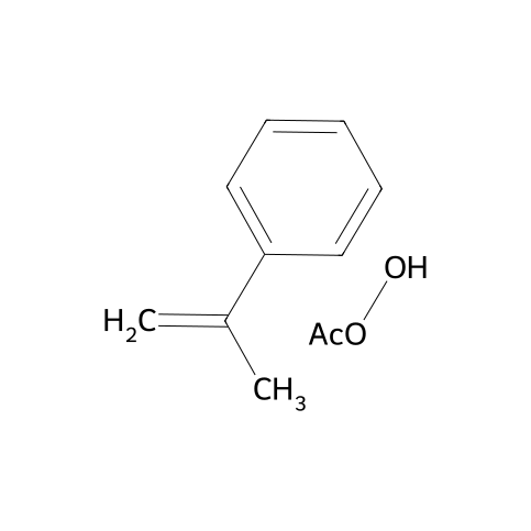 C=C(C)c1ccccc1.CC(=O)OO